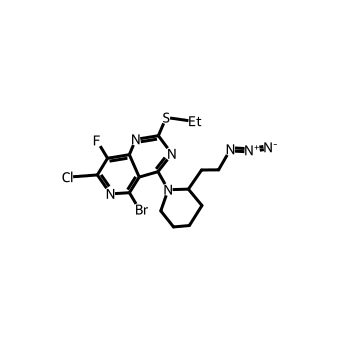 CCSc1nc(N2CCCCC2CCN=[N+]=[N-])c2c(Br)nc(Cl)c(F)c2n1